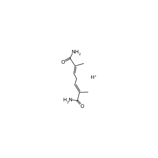 C/C(=C\C/C=C(\C)C(N)=O)C(N)=O.[H+]